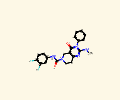 CCCNc1nc2c(c(=O)n1-c1ccccc1)CN(C(=O)Nc1ccc(F)c(F)c1)CC2